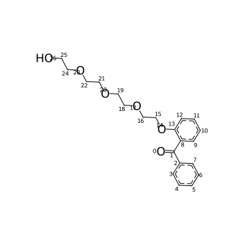 O=C(c1ccccc1)c1ccccc1OCCOCCOCCOCCO